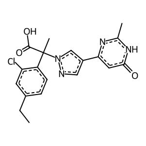 CCc1ccc(C(C)(C(=O)O)n2cc(-c3cc(=O)[nH]c(C)n3)cn2)c(Cl)c1